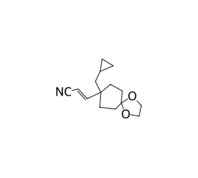 N#CC=CC1(CC2CC2)CCC2(CC1)OCCO2